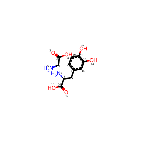 NCC(=O)O.N[C@@H](Cc1ccc(O)c(O)c1)C(=O)O